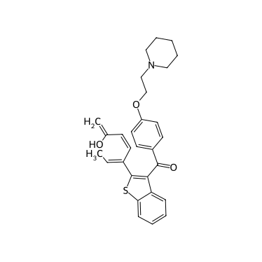 C=C(O)/C=C\C(=C/C)c1sc2ccccc2c1C(=O)c1ccc(OCCN2CCCCC2)cc1